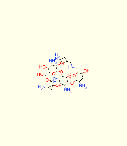 NC1CC(CNC[C@H]2O[C@H](O[C@H]3[C@H](O)[C@@H](O[C@H]4O[C@H](CO)[C@@H](O)[C@H](N)[C@H]4O)[C@H](NC(=O)C4(O)CC4N)C[C@@H]3N)[C@H](N)C[C@@H]2O)C1